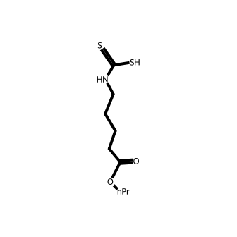 CCCOC(=O)CCCCNC(=S)S